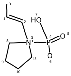 CC=C[N+]1(P(=O)([O-])O)CCCC1